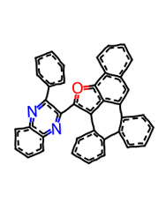 c1ccc(-c2nc3ccccc3nc2-c2oc3c4c(cc5ccccc53)-c3ccccc3-c3ccccc3-c24)cc1